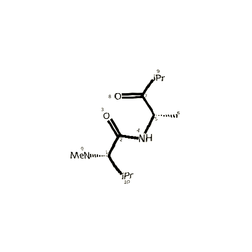 CN[C@H](C(=O)N[C@@H](C)C(=O)C(C)C)C(C)C